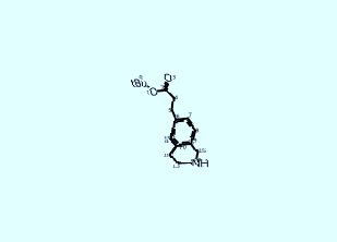 CC(C)(C)OC(=O)CCc1ccc2c(c1)CCNC2